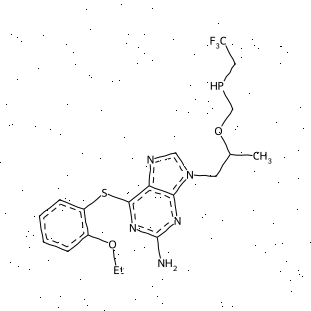 CCOc1ccccc1Sc1nc(N)nc2c1ncn2CC(C)OCPCC(F)(F)F